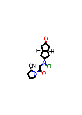 N#C[C@@H]1CCCN1C(=O)CN(Cl)[C@H]1C[C@H]2CC(=O)C[C@H]2C1